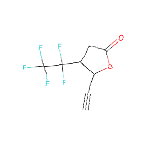 C#CC1OC(=O)CC1C(F)(F)C(F)(F)F